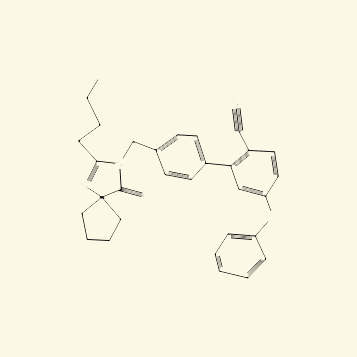 CCCCC1=NC2(CCCC2)C(=O)N1Cc1ccc(-c2cc(Oc3ccccc3)ccc2C#N)cc1